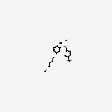 CCOC(=O)CCCOc1cc(C)c2nc(OCC)n(Cc3ncc(C(F)(F)F)cc3Cl)c2c1